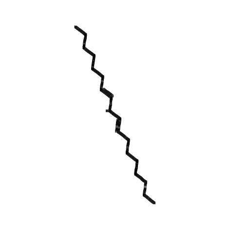 CCCCCCC=C[CH]C=CCCCCCCC